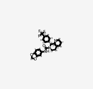 O=C(Nc1ccc2c(c1)OCO2)N1CCc2cccnc2[C@H]1c1ccc(C(F)(F)F)cc1